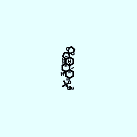 CC(C)(C)[Si](C)(C)O[C@H]1CC[C@@]2(C)[C@@H](CC[C@@H]3[C@@H]2CC[C@@]2(C)[C@H]3CCC23OCCO3)C1